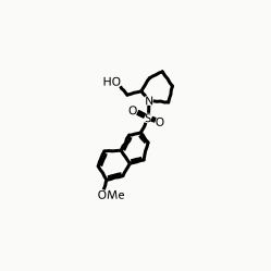 COc1ccc2cc(S(=O)(=O)N3CCCCC3CO)ccc2c1